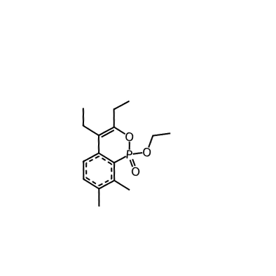 CCOP1(=O)OC(CC)=C(CC)c2ccc(C)c(C)c21